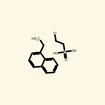 O=C(O)Cc1cccc2ccccc12.O=P(O)(O)CCCl